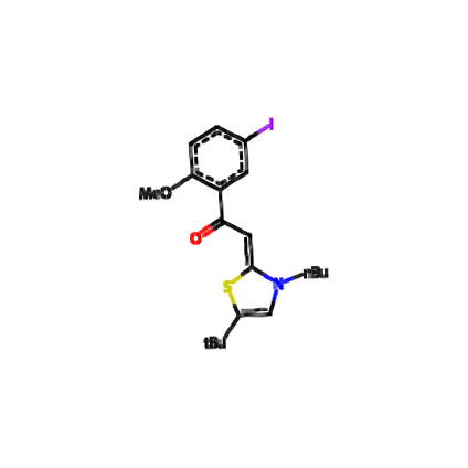 CCCCN1C=C(C(C)(C)C)S/C1=C\C(=O)c1cc(I)ccc1OC